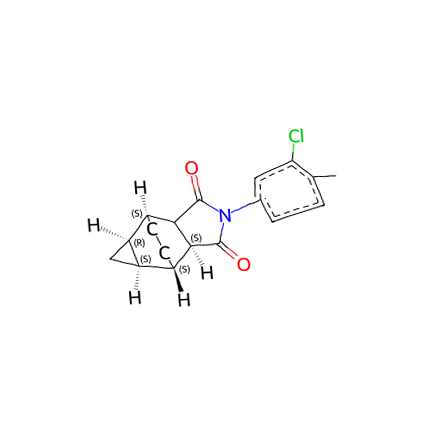 Cc1ccc(N2C(=O)C3[C@H]4CC[C@@H]([C@H]5C[C@H]54)[C@@H]3C2=O)cc1Cl